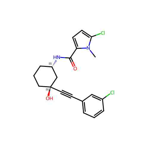 Cn1c(Cl)ccc1C(=O)N[C@H]1CCC[C@@](O)(C#Cc2cccc(Cl)c2)C1